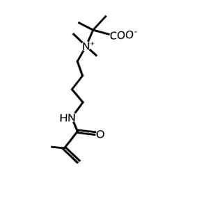 C=C(C)C(=O)NCCCC[N+](C)(C)C(C)(C)C(=O)[O-]